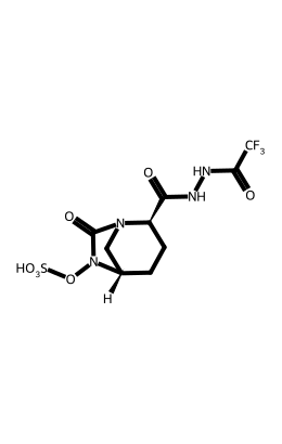 O=C(NNC(=O)C(F)(F)F)[C@H]1CC[C@H]2CN1C(=O)N2OS(=O)(=O)O